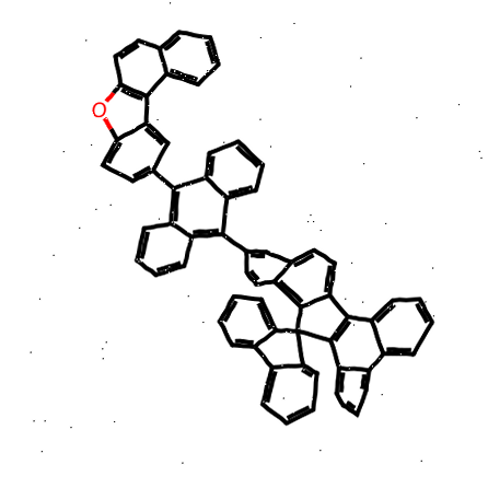 c1ccc2c(c1)-c1ccccc1C21c2c(ccc3cc(-c4c5ccccc5c(-c5ccc6oc7ccc8ccccc8c7c6c5)c5ccccc45)ccc23)-c2c1c1ccccc1c1ccccc21